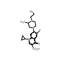 CC(=O)CCN1CCN(c2cc3c(cc2F)c(=O)c(C(=O)O)cn3C2CC2)CC1C